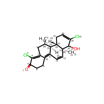 C[C@@H]1CC2=C(Cl)C(=O)CCC2=C2C=C[C@]3(C)C(O)C(Cl)=CC[C@H]3[C@@H]21